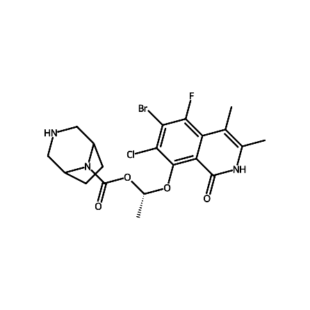 Cc1[nH]c(=O)c2c(O[C@H](C)OC(=O)N3C4CCC3CNC4)c(Cl)c(Br)c(F)c2c1C